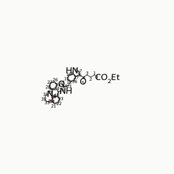 CCOC(=O)CCCC(=O)c1c[nH]c2ccc(CC(=O)NC(c3ccccc3)c3ccccc3N3CCCCC3)cc12